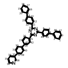 c1ccc(-c2ccc(-c3nc(-c4ccc(-c5ccccc5)cc4)nc(-c4ccc(-c5ccc(-c6cccnc6)cc5)cc4)n3)cc2)cc1